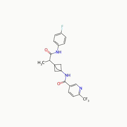 CC(C(=O)Nc1ccc(F)cc1)C12CC(NC(=O)c3ccc(C(F)(F)F)nc3)(C1)C2